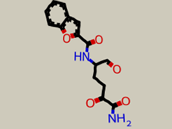 NC(=O)C(=O)CCC(C=O)NC(=O)c1cc2ccccc2o1